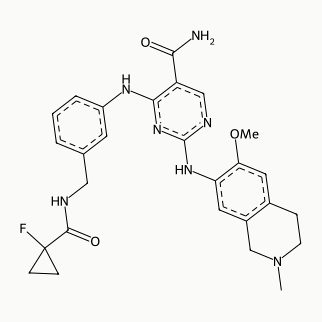 COc1cc2c(cc1Nc1ncc(C(N)=O)c(Nc3cccc(CNC(=O)C4(F)CC4)c3)n1)CN(C)CC2